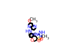 COc1cnc2c(Nc3ccc4c(c3)[C@@]3(C)NC(=N)N(C)S(=O)(=O)C3CCO4)ccnc2c1